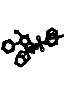 Cc1ccc(S(=O)(=O)n2nc(N3C4CCC3CC(COCCN3CCCC3)C4)c3c(-c4ccccc4)c(Br)sc32)cc1